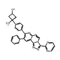 NC1(c2ccc(-c3nc4ccn5c(-c6ncccn6)nnc5c4cc3-c3ccccc3)cc2)CC(O)C1